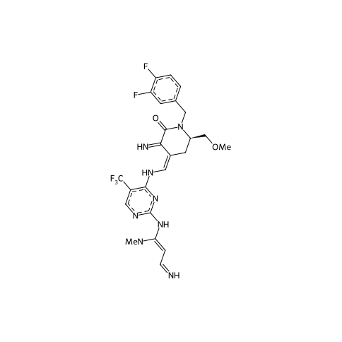 CN/C(=C\C=N)Nc1ncc(C(F)(F)F)c(N/C=C2/C[C@H](COC)N(Cc3ccc(F)c(F)c3)C(=O)C2=N)n1